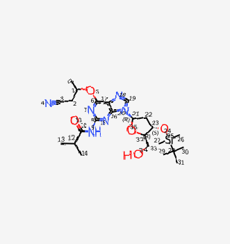 CC(CC#N)Oc1nc(NC(=O)C(C)C)nc2c1ncn2[C@H]1C[C@H](O[Si](C)(C)C(C)(C)C)[C@@H](CO)O1